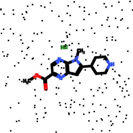 COC(=O)c1cnc2c(cc(C3CCNCC3)n2C)n1.Cl